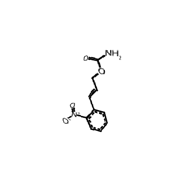 NC(=O)OC/C=C/c1ccccc1[N+](=O)[O-]